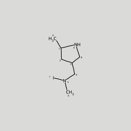 CC1CC(CN(C)I)CN1